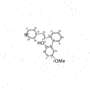 COc1ccc(O)c(-c2ccccc2C=Cc2ccncc2)c1